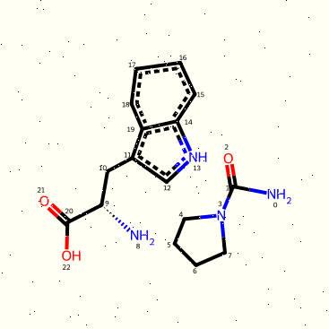 NC(=O)N1CCCC1.N[C@@H](Cc1c[nH]c2ccccc12)C(=O)O